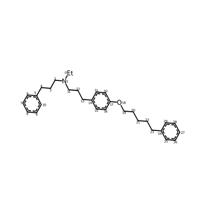 CCN(CCCc1ccccc1)CCCc1ccc(OCCCCCc2ccccc2)cc1